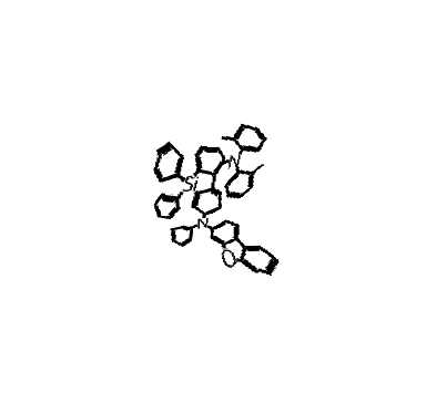 Cc1ccccc1N(c1ccccc1C)c1cccc2c1-c1ccc(N(c3ccccc3)c3ccc4c(c3)oc3ccccc34)cc1[Si]2(c1ccccc1)c1ccccc1